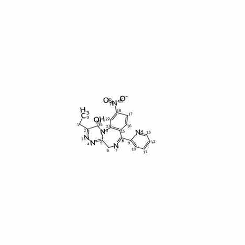 CCC1=NN=C2CN=C(c3ccccn3)c3ccc([N+](=O)[O-])cc3N2C1O